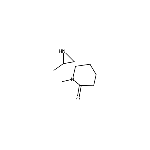 CC1CN1.CN1CCCCC1=O